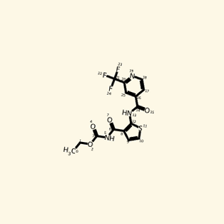 CCOC(=O)NC(=O)c1ccsc1NC(=O)c1ccnc(C(F)(F)F)c1